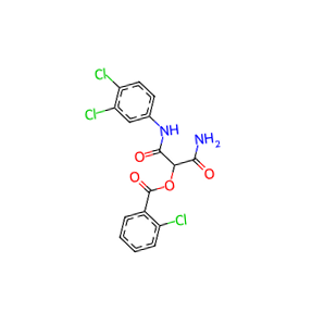 NC(=O)C(OC(=O)c1ccccc1Cl)C(=O)Nc1ccc(Cl)c(Cl)c1